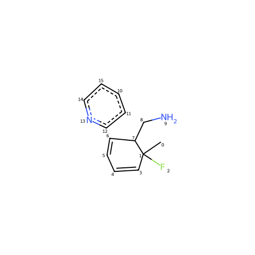 CC1(F)C=CC=CC1CN.c1ccncc1